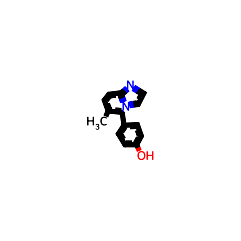 Cc1ccc2nccn2c1-c1ccc(O)cc1